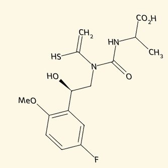 C=C(S)N(C[C@H](O)c1cc(F)ccc1OC)C(=O)NC(C)C(=O)O